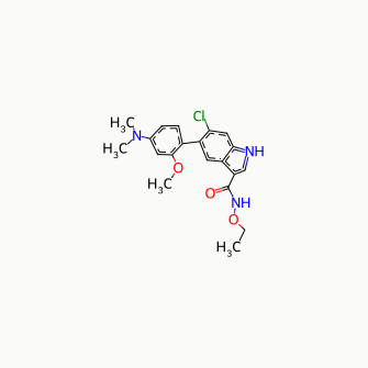 CCONC(=O)c1c[nH]c2cc(Cl)c(-c3ccc(N(C)C)cc3OC)cc12